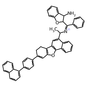 CC(/N=C(/c1ccccc1)C1Oc2ccccc2C1N)c1cc2c3c(oc2c2ccccc12)C=C(c1ccc(-c2cccc4ccccc24)cc1)CC3